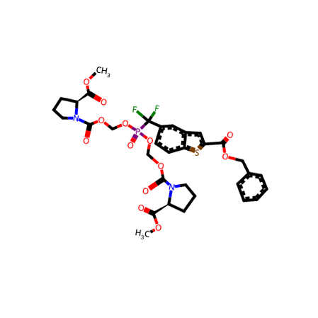 COC(=O)[C@@H]1CCCN1C(=O)OCOP(=O)(OCOC(=O)N1CCC[C@H]1C(=O)OC)C(F)(F)c1ccc2sc(C(=O)OCc3ccccc3)cc2c1